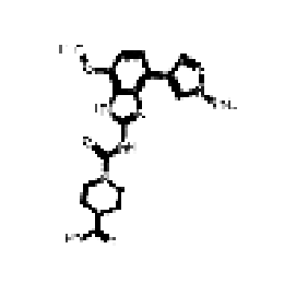 COc1ccc(-c2cnn(C)c2)c2nc(NC(=O)N3CCC(C(=O)O)CC3)[nH]c12